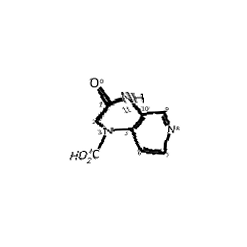 O=C1CN(C(=O)O)c2ccncc2N1